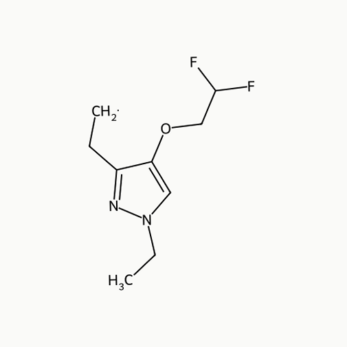 [CH2]Cc1nn(CC)cc1OCC(F)F